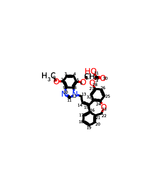 COc1ccc(OC)c2c1ncn2CC=C1c2ccccc2COc2ccc(OC(=O)O)cc21